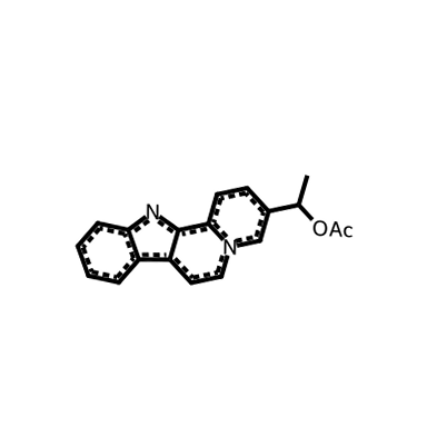 CC(=O)OC(C)c1ccc2c3nc4ccccc4c-3ccn2c1